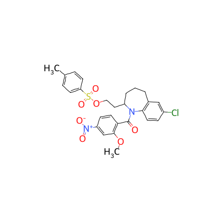 COc1cc([N+](=O)[O-])ccc1C(=O)N1c2ccc(Cl)cc2CCCC1CCOS(=O)(=O)c1ccc(C)cc1